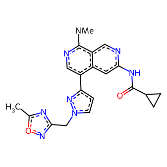 CNc1ncc(-c2ccn(Cc3noc(C)n3)n2)c2cc(NC(=O)C3CC3)ncc12